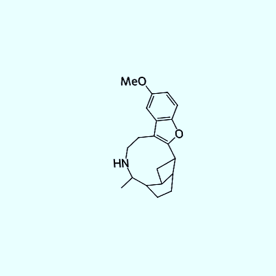 COc1ccc2oc3c(c2c1)CCNC(C)C1CCC2C3CC12